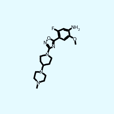 COc1cc(-c2nc(N3CCC(N4CCN(C)CC4)CC3)no2)c(F)cc1N